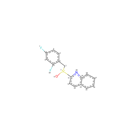 [O-][S+](Cc1ccc(F)cc1F)c1ccc2ccccc2n1